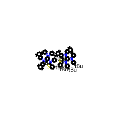 CC(C)(C)c1ccc(N(c2ccccc2)c2cc3c4c(c2)N(c2ccc(C(C)(C)C)cc2)c2c(sc5ccc(C(C)(C)C)cc25)B4c2cc4c(cc2N3c2ccc3c(c2)C(C)(C)CCC3(C)C)C(C)(C)CCC4(C)Cc2cccc(N(c3ccccc3)c3cc4c5c(c3)N(c3ccc(C(C)(C)C)cc3)c3c(sc6ccc(C(C)(C)C)cc36)B5c3cc5c(cc3N4c3ccc4c(c3)C(C)(C)CCC4(C)C)C(C)(C)CCC5(C)C)c2)cc1